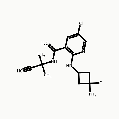 C#CC(C)(C)NC(=C)c1cc(Cl)cnc1NC1CC(F)(P)C1